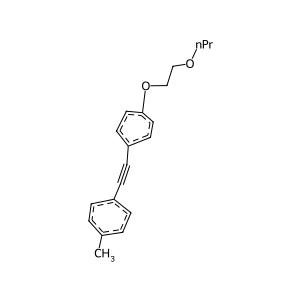 CCCOCCOc1ccc(C#Cc2ccc(C)cc2)cc1